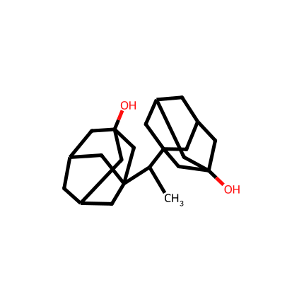 CC(C12CC3CC(CC(O)(C3)C1)C2)C12CC3CC(CC(O)(C3)C1)C2